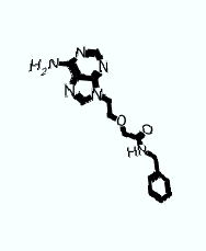 Nc1ncnc2c1ncn2CCOCC(=O)NCc1ccccc1